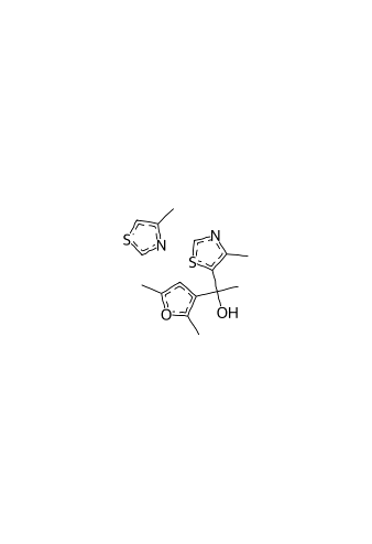 Cc1cc(C(C)(O)c2scnc2C)c(C)o1.Cc1cscn1